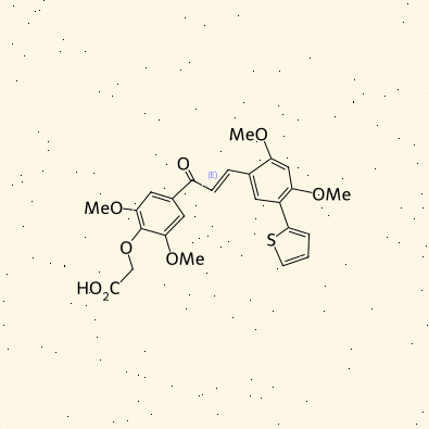 COc1cc(OC)c(-c2cccs2)cc1/C=C/C(=O)c1cc(OC)c(OCC(=O)O)c(OC)c1